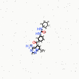 CC(C)c1cc(C(=O)c2cccc(NC(=O)NC3CCCCC3)c2)c2c(N)ncnn12